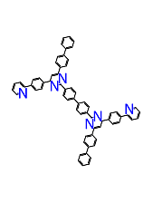 c1ccc(-c2ccc(-c3cc(-c4ccc(-c5ccccn5)cc4)nc(-c4ccc(-c5ccc(-c6nc(-c7ccc(-c8ccccc8)cc7)cc(-c7ccc(-c8ccccn8)cc7)n6)cc5)cc4)n3)cc2)cc1